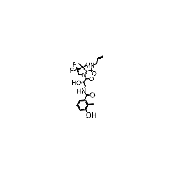 C=CCNC(=O)C1N(C(=O)[C@@H](O)CNC(=O)c2cccc(O)c2C)CC(F)(F)C1(C)C